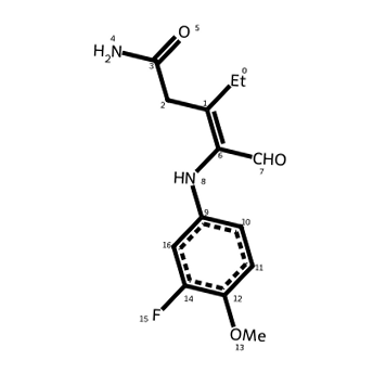 CC/C(CC(N)=O)=C(\C=O)Nc1ccc(OC)c(F)c1